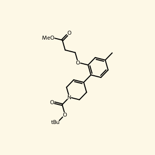 COC(=O)CCOc1cc(C)ccc1C1=CCN(C(=O)OC(C)(C)C)CC1